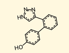 Oc1ccc(-c2ccccc2-c2c[nH]nn2)cc1